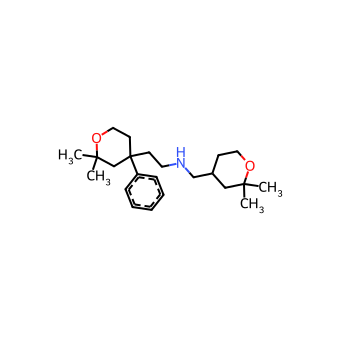 CC1(C)CC(CNCCC2(c3ccccc3)CCOC(C)(C)C2)CCO1